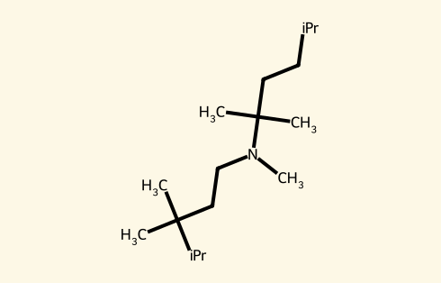 CC(C)CCC(C)(C)N(C)CCC(C)(C)C(C)C